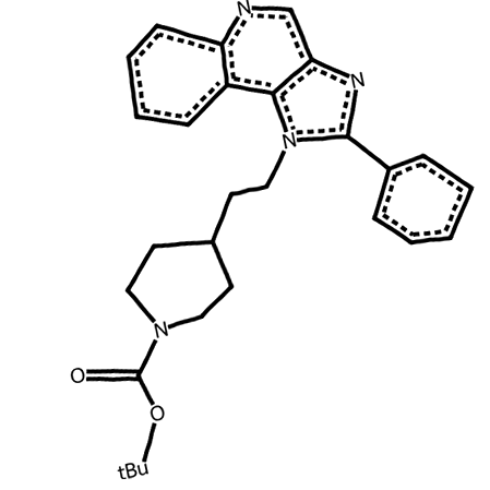 CC(C)(C)OC(=O)N1CCC(CCn2c(-c3ccccc3)nc3cnc4ccccc4c32)CC1